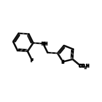 O=C(O)c1ccc(CNc2ccccc2F)s1